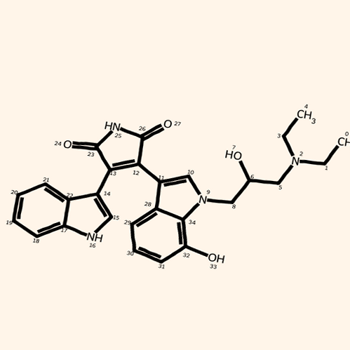 CCN(CC)CC(O)Cn1cc(C2=C(c3c[nH]c4ccccc34)C(=O)NC2=O)c2cccc(O)c21